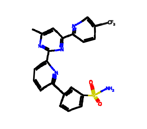 Cc1cc(-c2ccc(C(F)(F)F)cn2)nc(-c2cccc(-c3cccc(S(N)(=O)=O)c3)n2)n1